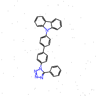 c1ccc(-c2nnnn2-c2ccc(-c3ccc(-n4c5ccccc5c5ccccc54)cc3)cc2)cc1